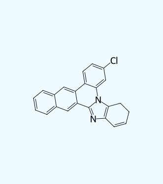 Clc1ccc2c3cc4ccccc4cc3c3nc4c(n3c2c1)CCC=C4